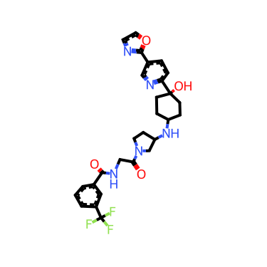 O=C(NCC(=O)N1CCC(NC2CCC(O)(c3ccc(-c4ncco4)cn3)CC2)C1)c1cccc(C(F)(F)F)c1